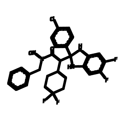 O=NN(Cc1ccccc1)C(=O)C(C1CCC(F)(F)CC1)C1(c2ccc(Cl)cc2)Nc2cc(F)c(F)cc2N1